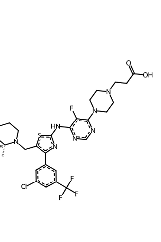 C[C@@H]1CCCCN1Cc1sc(Nc2ncnc(N3CCN(CCC(=O)O)CC3)c2F)nc1-c1cc(Cl)cc(C(F)(F)F)c1